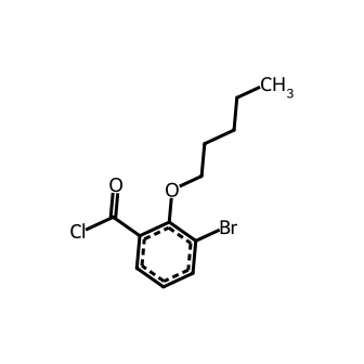 CCCCCOc1c(Br)cccc1C(=O)Cl